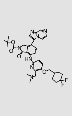 CN(C)Cc1nc(Nc2ccc(-c3cnc4cnccn34)c3c2C(=O)N(C(=O)OC(C)(C)C)C3)ccc1OCC1CCC(F)(F)CC1